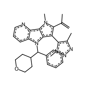 C=C(C)c1c(-c2c(C)nnn2C)c2c(c3ncccc3n2C(c2ccccc2)C2CCOCC2)n1C